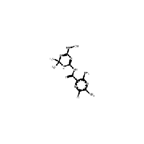 CC1(C)N=C(NC#N)N=C(NC(=O)c2nc(Cl)c(N)nc2N)N1